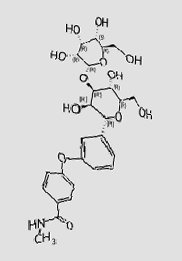 CNC(=O)c1ccc(Oc2cccc([C@H]3O[C@H](CO)[C@@H](O)[C@H](O[C@H]4O[C@H](CO)[C@@H](O)[C@@H](O)[C@H]4O)[C@@H]3O)c2)cc1